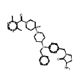 Cc1ncnc(C)c1C(=O)N1CCC(C)(N2CCC(N(Cc3ccccc3)c3ccc(CN4CCC(N)C4=O)cc3)CC2)CC1